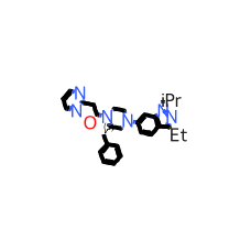 CCc1nn(C(C)C)c2cc(N3CCN(C(=O)Cc4ncccn4)[C@@H](Cc4ccccc4)C3)ccc12